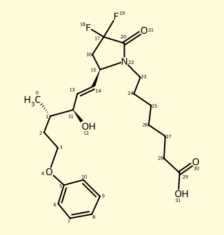 C[C@@H](CCOc1ccccc1)[C@H](O)/C=C/[C@H]1CC(F)(F)C(=O)N1CCCCCCC(=O)O